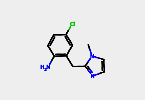 Cn1ccnc1Cc1cc(Cl)ccc1N